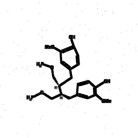 COc1cc(C[C@@H](COP)[C@H](COP)Cc2ccc(O)c(OC)c2)ccc1O